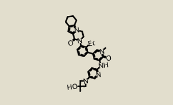 CCc1c(-c2cc(Nc3ccc(N4CC(C)(O)C4)cn3)c(=O)n(C)c2)cccc1N1CCn2c(cc3c2CCCC3)C1=O